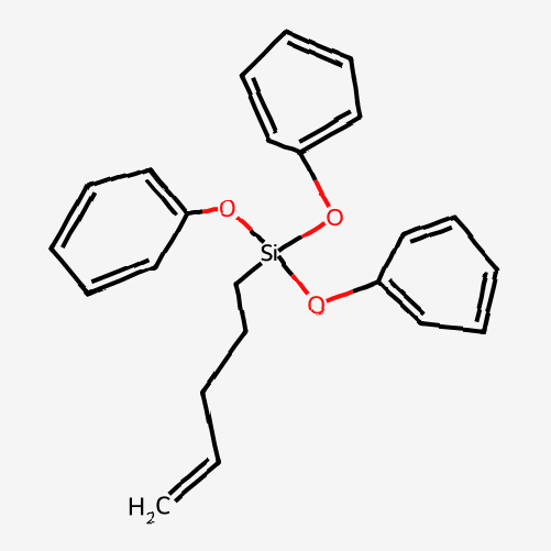 C=CCCC[Si](Oc1ccccc1)(Oc1ccccc1)Oc1ccccc1